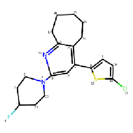 FC1CCN(c2cc(-c3ccc(Cl)s3)c3c(n2)CCCCC3)CC1